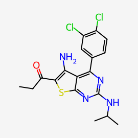 CCC(=O)c1sc2nc(NC(C)C)nc(-c3ccc(Cl)c(Cl)c3)c2c1N